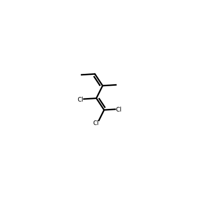 CC=C(C)C(Cl)=C(Cl)Cl